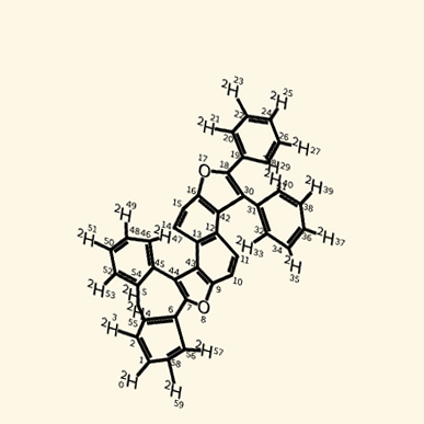 [2H]c1c([2H])c([2H])c(-c2oc3ccc4c(ccc5oc(-c6c([2H])c([2H])c([2H])c([2H])c6[2H])c(-c6c([2H])c([2H])c([2H])c([2H])c6[2H])c54)c3c2-c2c([2H])c([2H])c([2H])c([2H])c2[2H])c([2H])c1[2H]